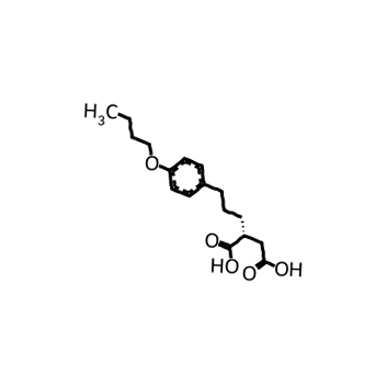 CCCCOc1ccc(CCC[C@H](CC(=O)O)C(=O)O)cc1